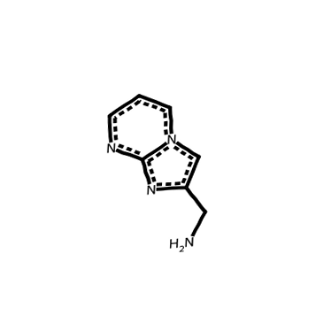 NCc1cn2cccnc2n1